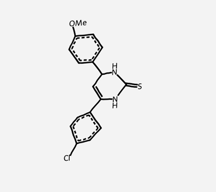 COc1ccc(C2C=C(c3ccc(Cl)cc3)NC(=S)N2)cc1